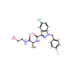 CC(C)(C)C(NC(=O)c1nn(Cc2ccc(F)cc2)c2ccc(Cl)cc12)C(=O)NCCO